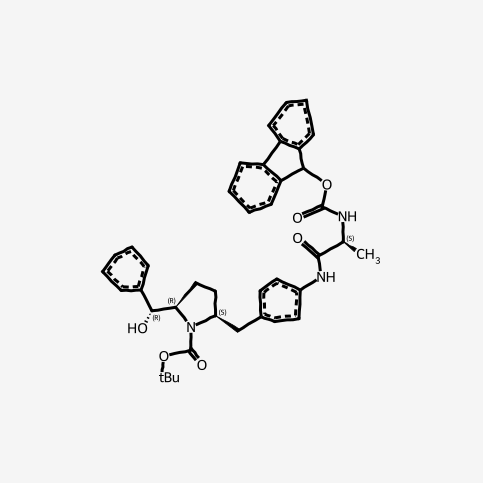 C[C@H](NC(=O)OC1c2ccccc2-c2ccccc21)C(=O)Nc1ccc(C[C@@H]2CC[C@H]([C@H](O)c3ccccc3)N2C(=O)OC(C)(C)C)cc1